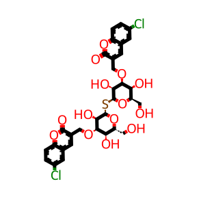 O=c1oc2ccc(Cl)cc2cc1CO[C@H]1[C@@H](O)[C@@H](CO)O[C@@H](S[C@@H]2O[C@H](CO)[C@H](O)[C@H](OCc3cc4cc(Cl)ccc4oc3=O)[C@H]2O)[C@@H]1O